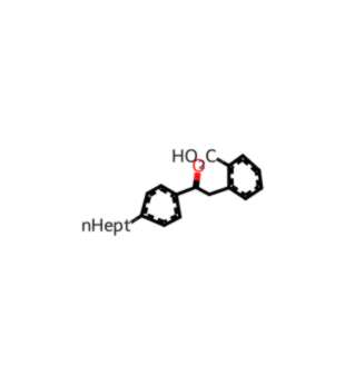 CCCCCCCc1ccc(C(=O)Cc2ccccc2C(=O)O)cc1